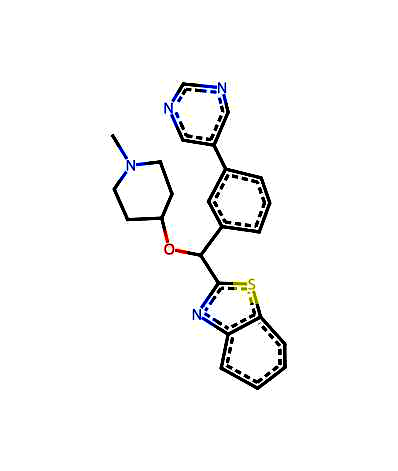 CN1CCC(OC(c2cccc(-c3cncnc3)c2)c2nc3ccccc3s2)CC1